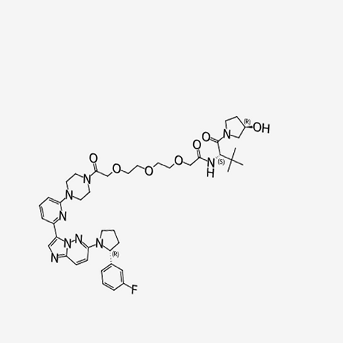 CC(C)(C)[C@H](NC(=O)COCCOCCOCC(=O)N1CCN(c2cccc(-c3cnc4ccc(N5CCC[C@@H]5c5cccc(F)c5)nn34)n2)CC1)C(=O)N1CC[C@@H](O)C1